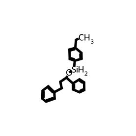 CCc1ccc([SiH2]OC(CCc2ccccc2)c2ccccc2)cc1